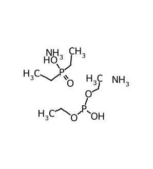 CCOP(O)OCC.CCP(=O)(O)CC.N.N